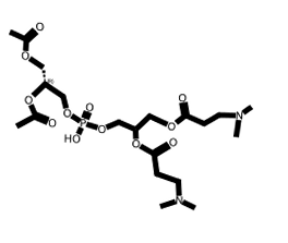 CC(=O)OC[C@H](COP(=O)(O)OCC(COC(=O)CCN(C)C)OC(=O)CCN(C)C)OC(C)=O